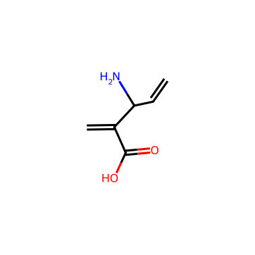 C=CC(N)C(=C)C(=O)O